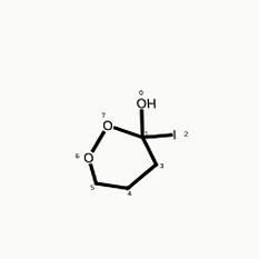 OC1(I)CCCOO1